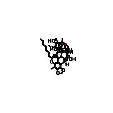 CCCCCCCC(=O)Oc1c(C)c2c(c3c1[C@H]1SC[C@]4(NCCc5cc(O)c(OC)cc54)C(=O)OC[C@@H]3N3C1[C@H]1c4c(cc(C)c(OC)c4O)C[C@@H]([C@@H]3O)N1C)OCO2